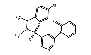 CN(C(c1ccc(Cl)cc1)C(F)(F)F)S(=O)(=O)c1cncc(-n2ccccc2=O)c1